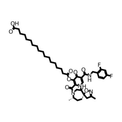 CC1=NO[C@@]2(CC[C@H](C)N3C[C@H]2n2cc(C(=O)NCc4ccc(F)cc4F)c(=O)c(OC(=O)CCCCCCCCCCCCCCCCC(=O)O)c2C3=O)C1